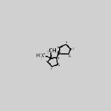 CC1(C)CCCC1C1CCCC1